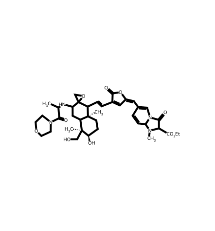 CCOC(=O)C1C(=O)N2C=C(/C=C3C=C(/C=C/C4C5(CO5)C(NC(C)C(=O)N5CCOCC5)CC5[C@]4(C)CC[C@@H](O)[C@@]5(C)CO)C(=O)O\3)C=CC2N1C